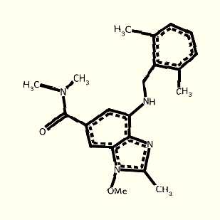 COn1c(C)nc2c(NCc3c(C)cccc3C)cc(C(=O)N(C)C)cc21